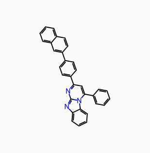 c1ccc(-c2cc(-c3ccc(-c4ccc5ccccc5c4)cc3)nc3nc4ccccc4n23)cc1